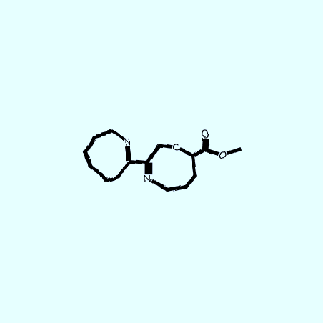 COC(=O)C1CCCN=C(C2=NCCCCCC2)CC1